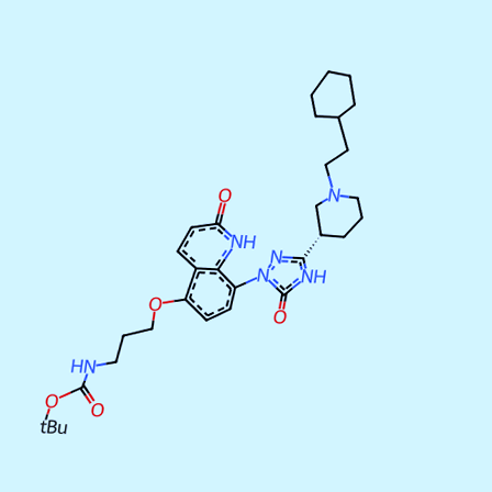 CC(C)(C)OC(=O)NCCCOc1ccc(-n2nc([C@H]3CCCN(CCC4CCCCC4)C3)[nH]c2=O)c2[nH]c(=O)ccc12